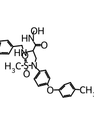 Cc1ccc(Oc2ccc(N(CC(NCc3ccccc3)C(=O)NO)S(C)(=O)=O)cc2)cc1